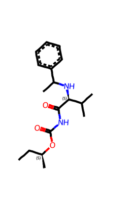 CC[C@H](C)OC(=O)NC(=O)[C@@H](NC(C)c1ccccc1)C(C)C